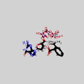 CSSC(C)c1ccccc1C(=O)O[C@@H]1C[C@H](n2cnc3c(=O)[nH]c(N)nc32)OC1COP(=O)(O)OP(=O)(O)OP(=O)(O)O